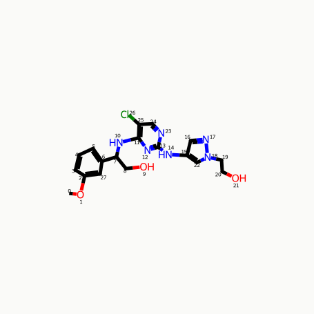 COc1cccc(C(CO)Nc2nc(Nc3cnn(CCO)c3)ncc2Cl)c1